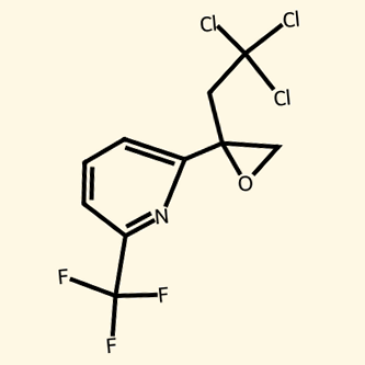 FC(F)(F)c1cccc(C2(CC(Cl)(Cl)Cl)CO2)n1